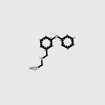 O=C(O)CSCc1cccc(Oc2ccccc2)c1